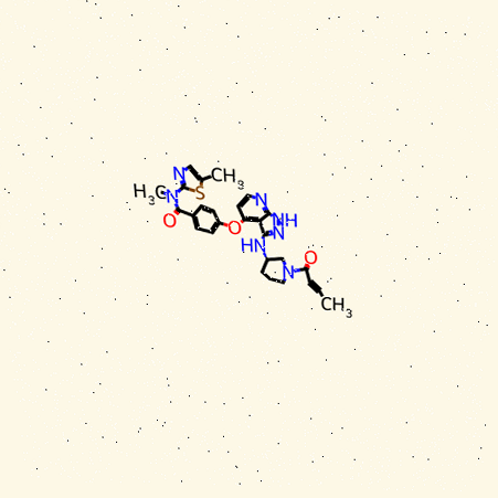 CC#CC(=O)N1CCC[C@@H](Nc2n[nH]c3nccc(Oc4ccc(C(=O)N(C)c5ncc(C)s5)cc4)c23)C1